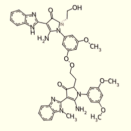 COc1cc(OC)cc(N2C(N)=C(c3nc4ccccc4n3C)C(=O)C2CCOOc2cc(OC)cc(N3C(N)=C(c4nc5ccccc5[nH]4)C(=O)[C@@H]3CCO)c2)c1